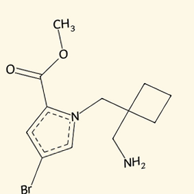 COC(=O)c1cc(Br)cn1CC1(CN)CCC1